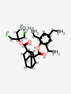 BCc1cc(CB)c(OC(=O)C23CC4CC(C2)CC(C(=O)OC(CF)(CF)CS(=O)(=O)O)(C4)C3)c(CB)c1